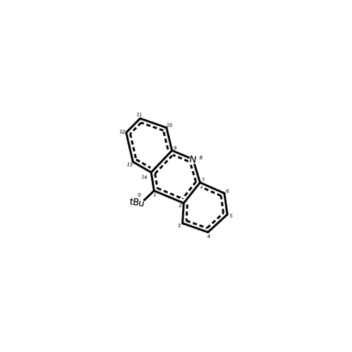 CC(C)(C)c1c2ccccc2nc2ccccc12